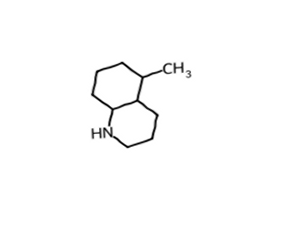 CC1CCCC2NCCCC12